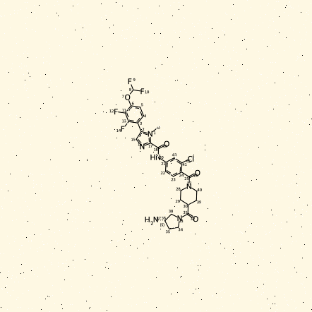 Cn1c(-c2ccc(OC(F)F)c(F)c2F)cnc1C(=O)Nc1ccc(C(=O)N2CCC(C(=O)N3CC[C@H](N)C3)CC2)c(Cl)c1